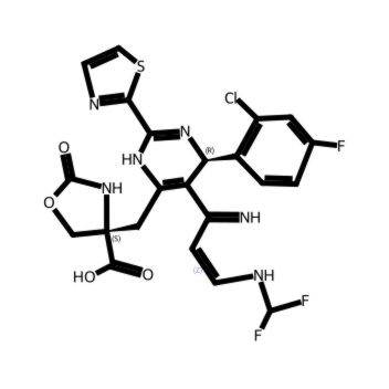 N=C(/C=C\NC(F)F)C1=C(C[C@@]2(C(=O)O)COC(=O)N2)NC(c2nccs2)=N[C@H]1c1ccc(F)cc1Cl